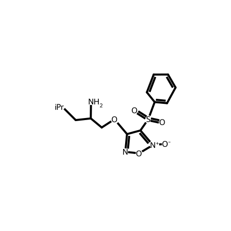 CC(C)CC(N)COc1no[n+]([O-])c1S(=O)(=O)c1ccccc1